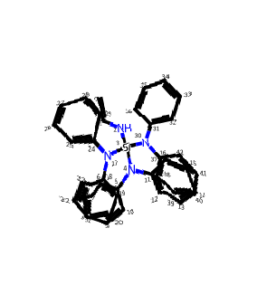 C=CN[Si](N(c1ccccc1)c1ccccc1)(N(c1ccccc1)c1ccccc1)N(c1ccccc1)c1ccccc1